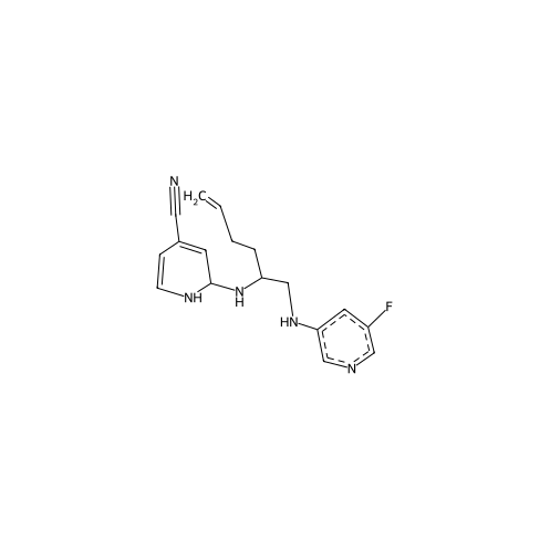 C=CCCC(CNc1cncc(F)c1)NC1C=C(C#N)C=CN1